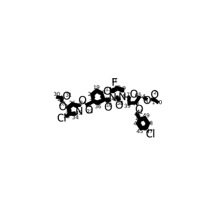 CC(=O)OC[C@H]1O[C@@H](n2cc(F)c(=O)n(C(=O)c3cccc(C(=O)Oc4cc(OC(C)=O)c(Cl)cn4)c3)c2=O)C[C@@H]1OCc1ccc(Cl)cc1